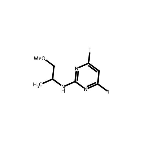 COCC(C)Nc1nc(I)cc(I)n1